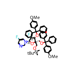 COc1ccc(C(OC[C@]2(CO[Si](C)(C)C(C)(C)C)O[C@@H](N3C=C(F)C=NC3)[C@@H](F)[C@@H]2OC(c2ccccc2)(c2ccccc2)c2ccc(OC)cc2)(c2ccccc2)c2ccccc2)cc1